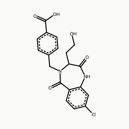 O=C(O)c1ccc(CN2C(=O)c3ccc(Cl)cc3NC(=O)C2CCO)cc1